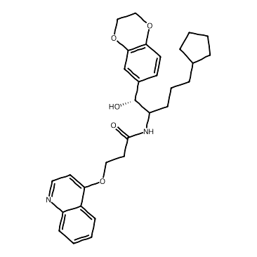 O=C(CCOc1ccnc2ccccc12)NC(CCCC1CCCC1)[C@H](O)c1ccc2c(c1)OCCO2